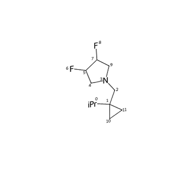 CC(C)C1(CN2CC(F)C(F)C2)CC1